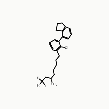 CCC(F)(F)C[C@H](C)CCCCCc1cccc(-c2cccc3c2CCC3)c1Cl